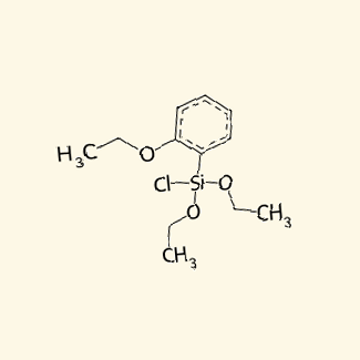 CCOc1ccccc1[Si](Cl)(OCC)OCC